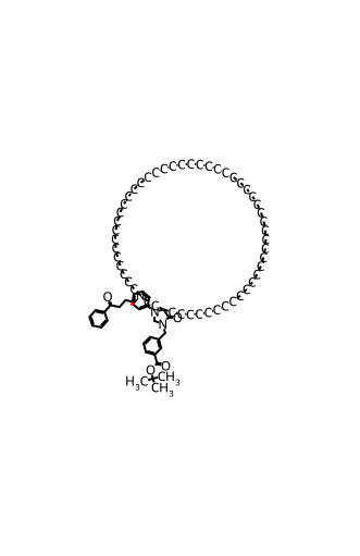 CC(C)(C)OC(=O)c1cccc(CN2CN(c3ccccc3)C3(CCCCCCCCCCCCCCCCCCCCCCCCCCCCCCCCCCCCCCCCCCCCCCCCN(CCCC(=O)c4ccccc4)CC3)C2=O)c1